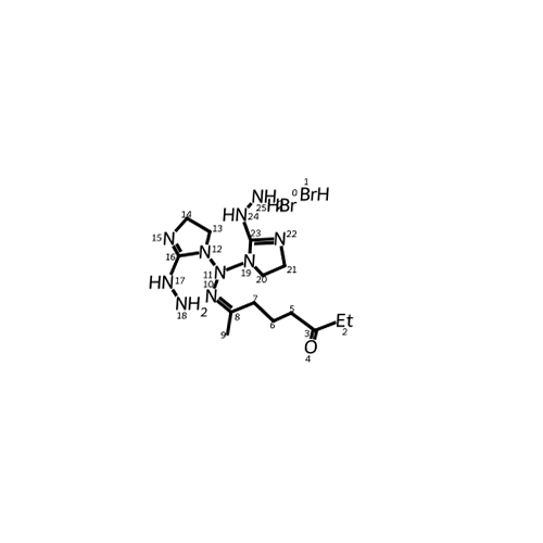 Br.Br.CCC(=O)CCCC(C)=NN(N1CCN=C1NN)N1CCN=C1NN